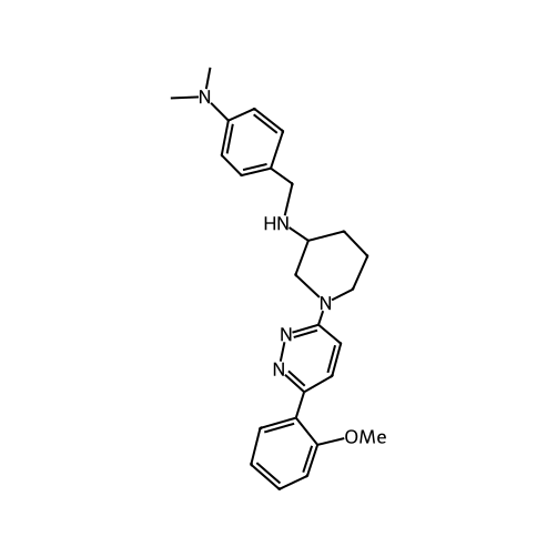 COc1ccccc1-c1ccc(N2CCCC(NCc3ccc(N(C)C)cc3)C2)nn1